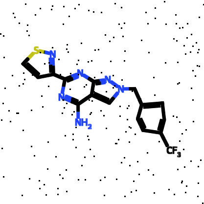 Nc1nc(-c2ccsn2)nc2nn(Cc3ccc(C(F)(F)F)cc3)cc12